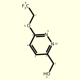 OCc1ccc(OCC(F)(F)F)nn1